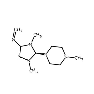 C=NC1SN(C)[C@H](N2CCN(C)CC2)N1C